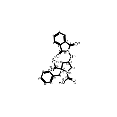 O=C1c2ccccc2C(=O)N1O[C@H]1CN(C(=O)O)[C@](Cc2ccccc2)(C(=O)O)C1